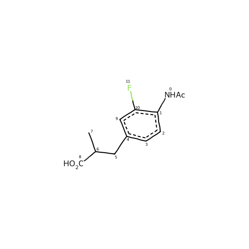 CC(=O)Nc1ccc(CC(C)C(=O)O)cc1F